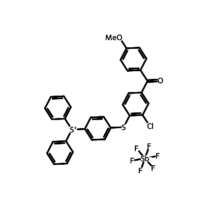 COc1ccc(C(=O)c2ccc(Sc3ccc([S+](c4ccccc4)c4ccccc4)cc3)c(Cl)c2)cc1.[F][Sb-]([F])([F])([F])([F])[F]